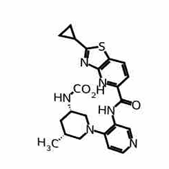 C[C@@H]1C[C@H](NC(=O)O)CN(c2ccncc2NC(=O)c2ccc3sc(C4CC4)nc3n2)C1